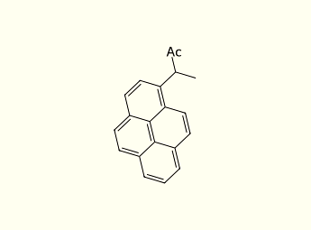 CC(=O)C(C)c1ccc2ccc3cccc4ccc1c2c34